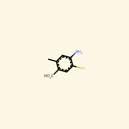 Cc1cc(N)c(S)cc1C(=O)O